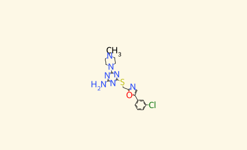 CN1CCN(c2nc(N)nc(SCc3ncc(-c4cccc(Cl)c4)o3)n2)CC1